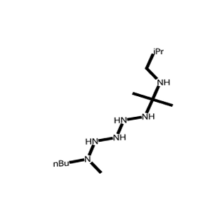 CCCCN(C)NNNNC(C)(C)NCC(C)C